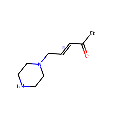 CCC(=O)/C=C/CN1CCNCC1